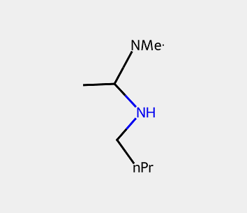 CCCCNC(C)[N]C